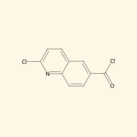 O=C(Cl)c1ccc2nc(Cl)ccc2c1